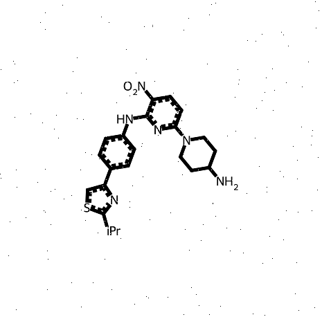 CC(C)c1nc(-c2ccc(Nc3nc(N4CCC(N)CC4)ccc3[N+](=O)[O-])cc2)cs1